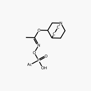 CC(=O)P(=O)(O)ON=C(C)OC1CN2CCC1CC2